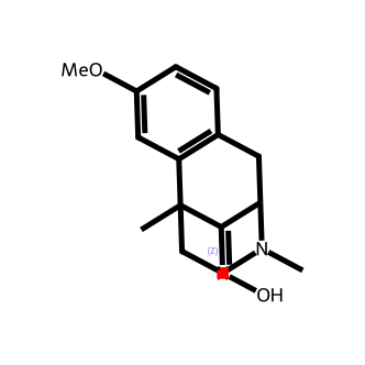 COc1ccc2c(c1)C1(C)CCN(C)C(C2)/C1=N\O